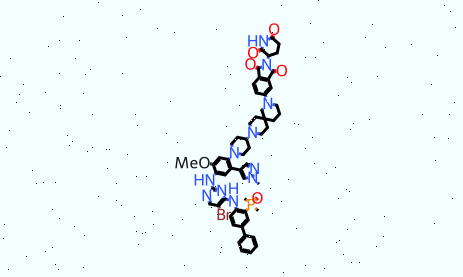 COc1cc(N2CCC(N3CCC4(CCCN(c5ccc6c(c5)C(=O)N(C5CCC(=O)NC5=O)C6=O)C4)CC3)CC2)c(-c2cnn(C)c2)cc1Nc1ncc(Br)c(Nc2ccc(-c3ccccc3)cc2P(C)(C)=O)n1